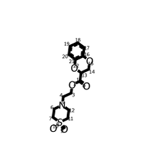 O=C(OCCN1CCS(=O)(=O)CC1)C1COc2ccccc2O1